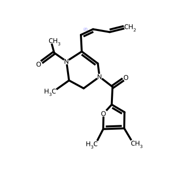 C=C/C=C\C1=CN(C(=O)c2cc(C)c(C)o2)CC(C)N1C(C)=O